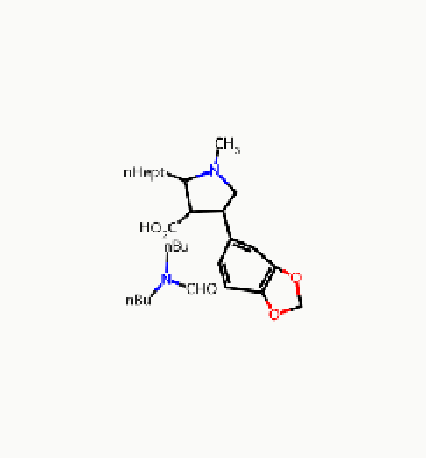 CCCCCCCC1C(C(=O)O)C(c2ccc3c(c2)OCO3)CN1C.CCCCN(C=O)CCCC